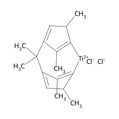 CC1=[C]2[Ti+2][C]3=C(C)C(=CC3C)C(C)(C)C1=CC2C.[Cl-].[Cl-]